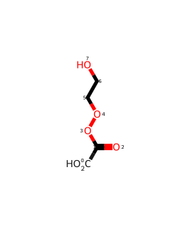 O=C(O)C(=O)OOCCO